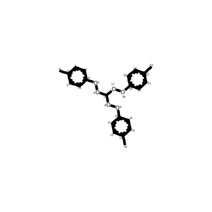 Cc1ccc(OOC(OOc2ccc(C)cc2)OOc2ccc(C)cc2)cc1